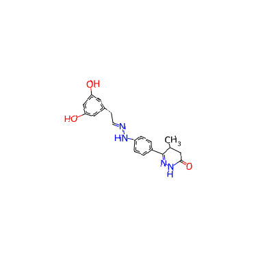 CC1CC(=O)NN=C1c1ccc(NN=CCc2cc(O)cc(O)c2)cc1